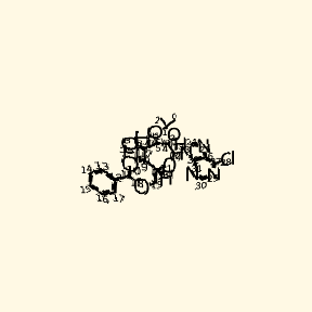 CC1(C)O[C@@H]2[C@H](O1)C(=O)[C@@H]1OC(c3ccccc3)OC[C@H]1O[C@H]2n1cnc2c(Cl)ncnc21